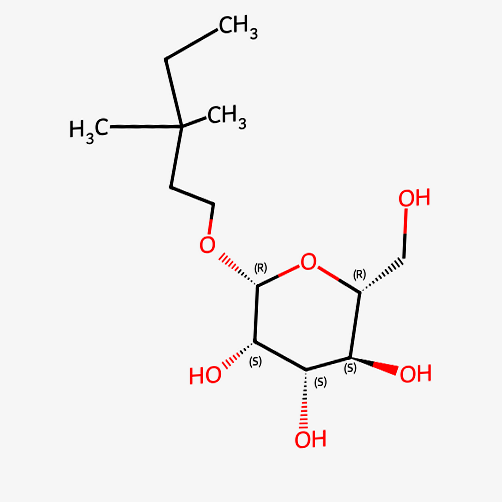 CCC(C)(C)CCO[C@@H]1O[C@H](CO)[C@@H](O)[C@H](O)[C@@H]1O